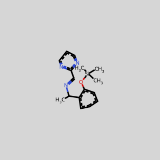 CC(N=Cc1ncccn1)c1ccccc1O[Si](C)(C)C